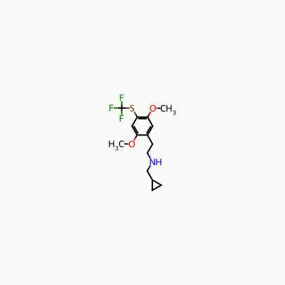 COc1cc(SC(F)(F)F)c(OC)cc1CCNCC1CC1